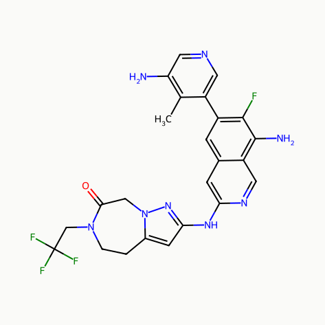 Cc1c(N)cncc1-c1cc2cc(Nc3cc4n(n3)CC(=O)N(CC(F)(F)F)CC4)ncc2c(N)c1F